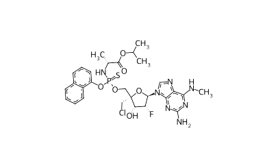 CNc1nc(N)nc2c1ncn2[C@@H]1O[C@](CCl)(COP(=S)(N[C@H](C)C(=O)OC(C)C)Oc2cccc3ccccc23)[C@@H](O)[C@H]1F